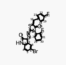 O=C1Nc2ccc(Br)cc2C1=NN=C1SC(=Cc2ccc(F)cc2)C(=O)N1c1ccccc1F